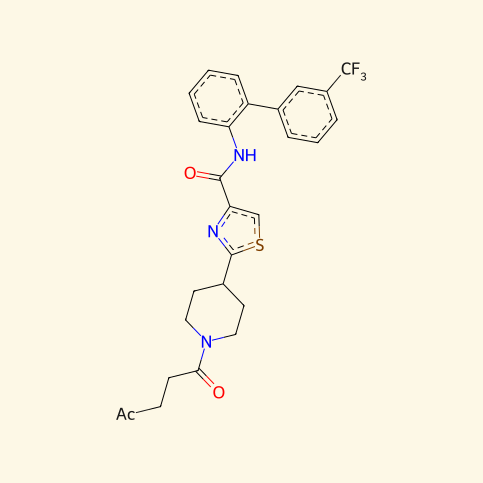 CC(=O)CCC(=O)N1CCC(c2nc(C(=O)Nc3ccccc3-c3cccc(C(F)(F)F)c3)cs2)CC1